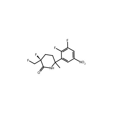 CC1(c2cc([N+](=O)[O-])cc(F)c2F)CC[C@@](F)(CF)C(=O)N1